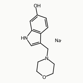 Oc1ccc2c(CN3CCOCC3)c[nH]c2c1.[Na]